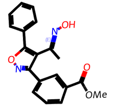 COC(=O)c1cccc(-c2noc(-c3ccccc3)c2/C(C)=N/O)c1